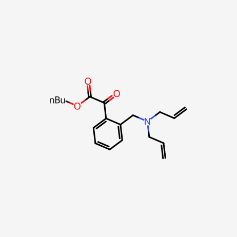 C=CCN(CC=C)Cc1ccccc1C(=O)C(=O)OCCCC